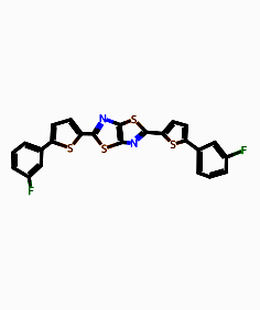 Fc1cccc(-c2ccc(-c3nc4sc(-c5ccc(-c6cccc(F)c6)s5)nc4s3)s2)c1